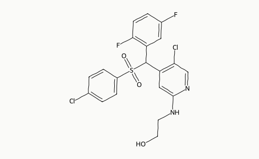 O=S(=O)(c1ccc(Cl)cc1)C(c1cc(F)ccc1F)c1cc(NCCO)ncc1Cl